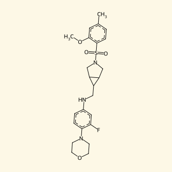 COc1cc(C)ccc1S(=O)(=O)N1CC2C(CNc3ccc(N4CCOCC4)c(F)c3)C2C1